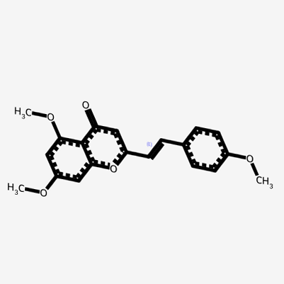 COc1ccc(/C=C/c2cc(=O)c3c(OC)cc(OC)cc3o2)cc1